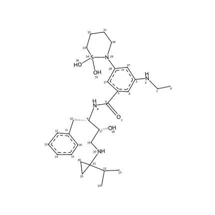 CCNc1cc(C(=O)N[C@@H](Cc2ccccc2)[C@H](O)CNC2(C(C)C)CC2)cc(N2CCCCS2(O)O)c1